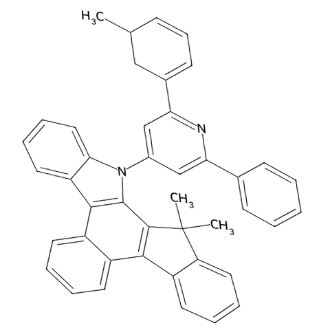 CC1C=CC=C(c2cc(-n3c4ccccc4c4c5ccccc5c5c(c43)C(C)(C)c3ccccc3-5)cc(-c3ccccc3)n2)C1